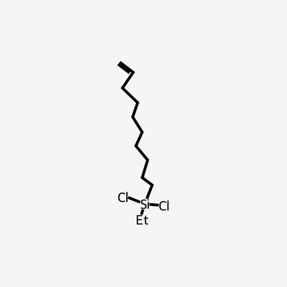 C=CCCCCCCCC[Si](Cl)(Cl)CC